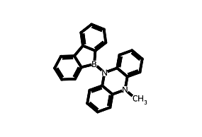 CN1c2ccccc2N(B2c3ccccc3-c3ccccc32)c2ccccc21